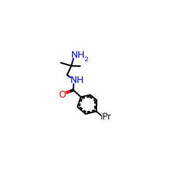 CC(C)c1ccc(C(=O)NCC(C)(C)N)cc1